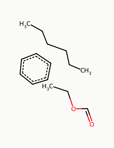 CCCCCC.CCOC=O.c1ccccc1